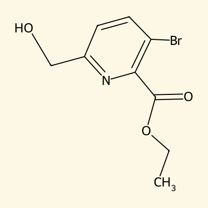 CCOC(=O)c1nc(CO)ccc1Br